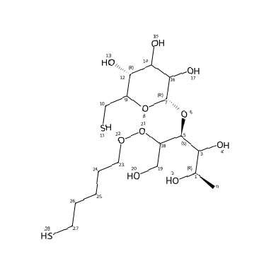 C[C@@H](O)C(O)[C@H](O[C@@H]1OC(CS)[C@H](O)C(O)C1O)C(CO)OOCCCCCS